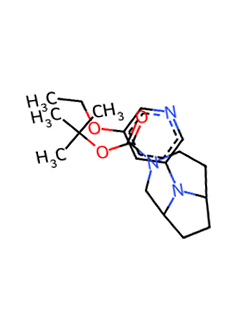 CCOc1cncc(N2C3CCC2CN(C(=O)OC(C)(C)C)CC3)c1